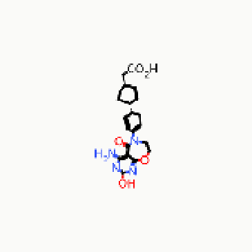 Nc1nc(O)nc2c1C(=O)N(C1=CCC([C@H]3CC[C@H](CC(=O)O)CC3)C=C1)CCO2